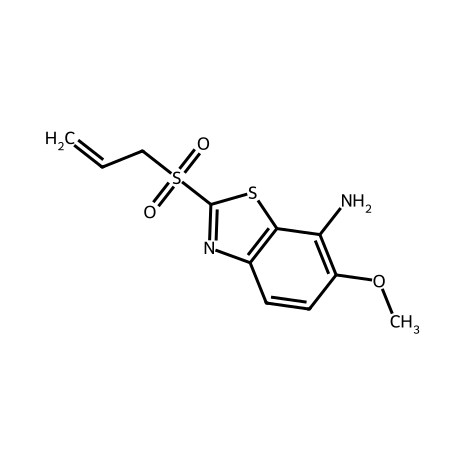 C=CCS(=O)(=O)c1nc2ccc(OC)c(N)c2s1